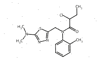 CCC(Cl)C(=O)N(Cc1nnc(N(C)C)s1)c1ccccc1C